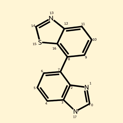 [C]1=Nc2c(cccc2-c2cccc3ncsc23)[N]1